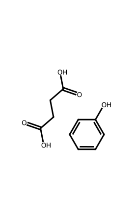 O=C(O)CCC(=O)O.Oc1ccccc1